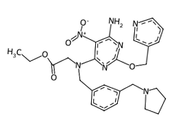 CCOC(=O)CN(Cc1cccc(CN2CCCC2)c1)c1nc(OCc2cccnc2)nc(N)c1[N+](=O)[O-]